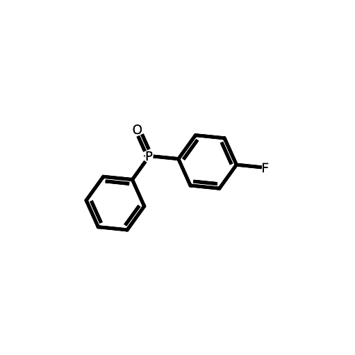 O=[P](c1ccccc1)c1ccc(F)cc1